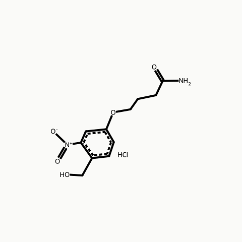 Cl.NC(=O)CCCOc1ccc(CO)c([N+](=O)[O-])c1